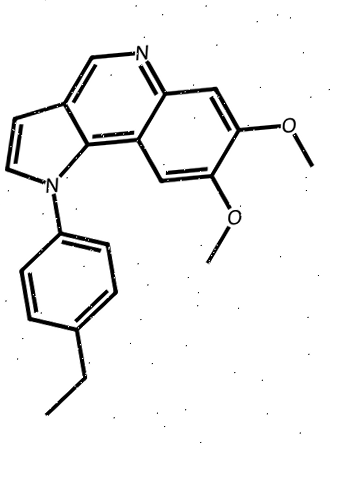 CCc1ccc(-n2ccc3cnc4cc(OC)c(OC)cc4c32)cc1